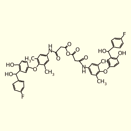 Cc1cc(NC(=O)CC(=O)OC(=O)CC(=O)Nc2cc(C)c(Oc3ccc(O)c(C(O)c4ccc(F)cc4)c3)c(C)c2)cc(C)c1Oc1ccc(O)c(C(O)c2ccc(F)cc2)c1